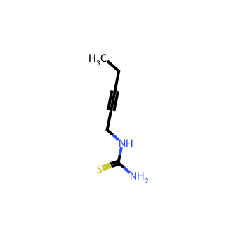 CCC#CCNC(N)=S